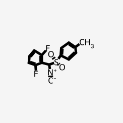 [C-]#[N+]C(c1c(F)cccc1F)S(=O)(=O)c1ccc(C)cc1